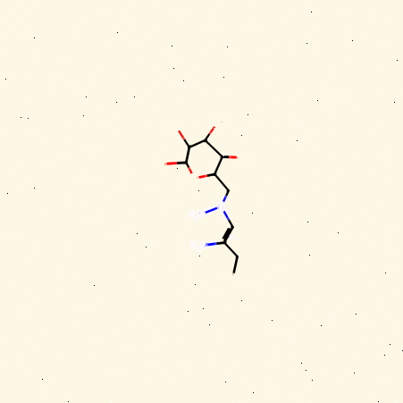 CC/C(N)=C/N(N)CC1OC(O)C(O)C(O)C1O